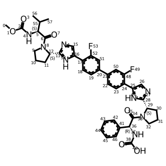 COC(=O)N[C@H](C(=O)N1CCC[C@H]1c1ncc(-c2ccc(-c3ccc(-c4cnc([C@@H]5CCCN5C(=O)[C@H](NC(=O)O)c5ccccc5)[nH]4)c(F)c3)cc2F)[nH]1)C(C)C